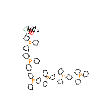 [C]=O.[C]=O.[Cl][Ru].[RuH2].c1ccc(P(c2ccccc2)c2ccccc2)cc1.c1ccc(P(c2ccccc2)c2ccccc2)cc1.c1ccc(P(c2ccccc2)c2ccccc2)cc1.c1ccc(P(c2ccccc2)c2ccccc2)cc1.c1ccc(P(c2ccccc2)c2ccccc2)cc1.c1ccc(P(c2ccccc2)c2ccccc2)cc1